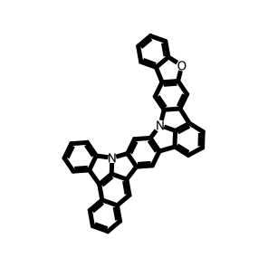 c1ccc2c(c1)cc1c3cc4c5cccc6c7cc8oc9ccccc9c8cc7n(c4cc3n3c4ccccc4c2c13)c65